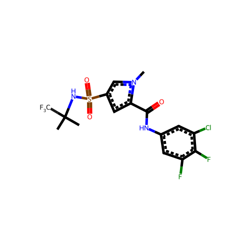 Cn1cc(S(=O)(=O)NC(C)(C)C(F)(F)F)cc1C(=O)Nc1cc(F)c(F)c(Cl)c1